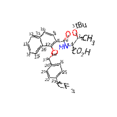 C[C@H](OC(C)(C)C)[C@H](NC(=O)c1ccc2ccccc2c1OCc1ccc(C(F)(F)F)cc1)C(=O)O